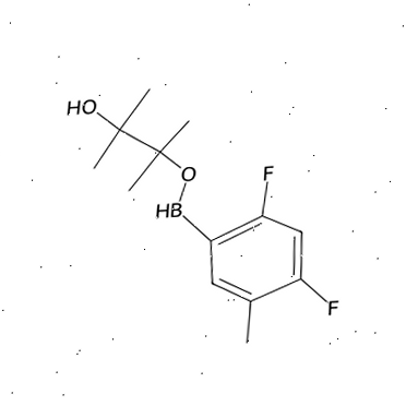 Cc1cc(BOC(C)(C)C(C)(C)O)c(F)cc1F